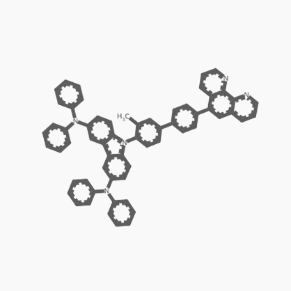 Cc1cc(-c2ccc(-c3cc4cccnc4c4ncccc34)cc2)ccc1-n1c2ccc(N(c3ccccc3)c3ccccc3)cc2c2cc(N(c3ccccc3)c3ccccc3)ccc21